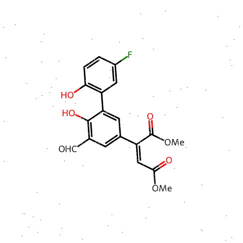 COC(=O)C=C(C(=O)OC)c1cc(C=O)c(O)c(-c2cc(F)ccc2O)c1